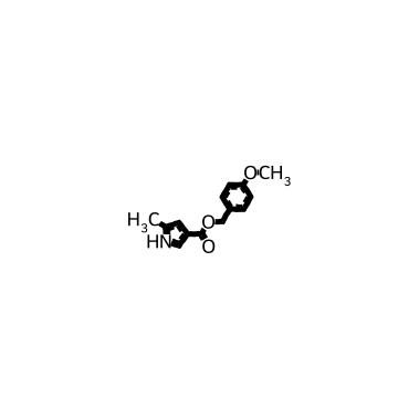 COc1ccc(COC(=O)c2c[nH]c(C)c2)cc1